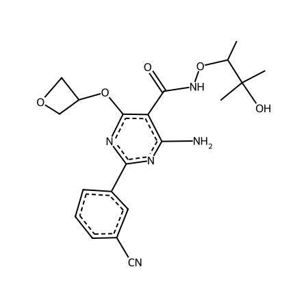 CC(ONC(=O)c1c(N)nc(-c2cccc(C#N)c2)nc1OC1COC1)C(C)(C)O